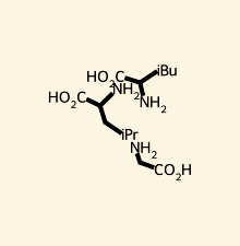 CC(C)CC(N)C(=O)O.CCC(C)C(N)C(=O)O.NCC(=O)O